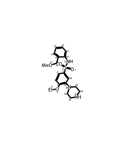 CCOc1ccc(S(=O)(=O)Nc2ccccc2COC)cc1N1CCNCC1